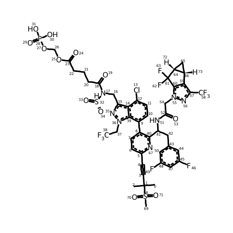 CC(C)(C#Cc1ccc(-c2ccc(Cl)c3c(CN(C(=O)CCCC(=O)OCOP(=O)(O)O)[SH](=O)=O)nn(CC(F)(F)F)c23)c(C(Cc2cc(F)cc(F)c2)NC(=O)Cn2nc(C(F)(F)F)c3c2C(F)(F)[C@@H]2C[C@H]32)n1)S(C)(=O)=O